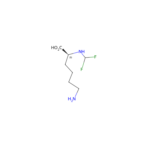 NCCCC[C@H](NC(F)F)C(=O)O